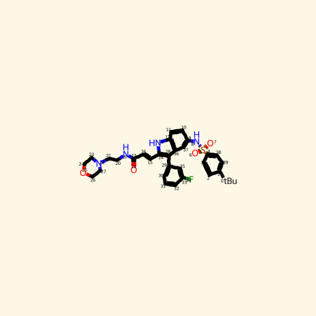 CC(C)(C)c1ccc(S(=O)(=O)Nc2ccc3[nH]c(C=CC(=O)NCCN4CCOCC4)c(-c4cccc(F)c4)c3c2)cc1